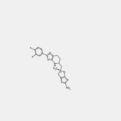 C[C@]1(CC2CCc3nc(-c4ccc(F)c(F)c4)sc3N2)Cn2cc([N+](=O)[O-])nc2O1